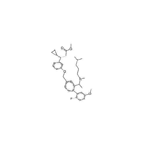 COC(=O)C[C@H](c1cccc(OCc2ccc(-c3cc(OC)ccc3F)c(C(C)N(C)CCCC(C)C)c2)c1)C1CC1